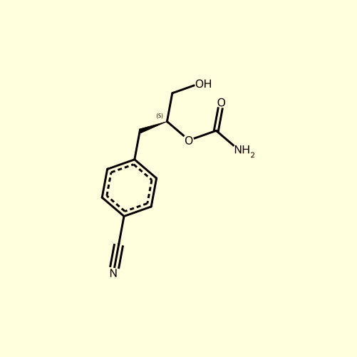 N#Cc1ccc(C[C@@H](CO)OC(N)=O)cc1